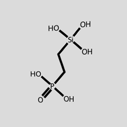 O=P(O)(O)CC[Si](O)(O)O